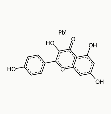 O=c1c(O)c(-c2ccc(O)cc2)oc2cc(O)cc(O)c12.[Pb]